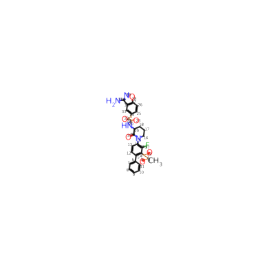 CS(=O)(=O)c1c(-c2ccccc2)ccc(N2CCCC(NS(=O)(=O)c3ccc4onc(N)c4c3)C2=O)c1F